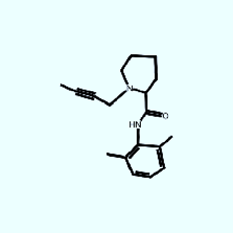 CC#CCN1CCCCC1C(=O)Nc1c(C)cccc1C